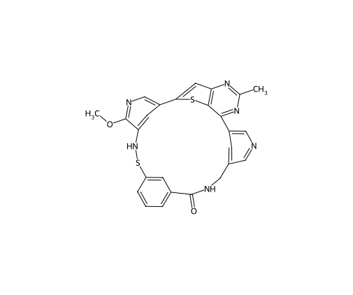 COc1ncc2cc1NSc1cccc(c1)C(=O)NCc1cncc(c1)-c1nc(C)nc3cc-2sc13